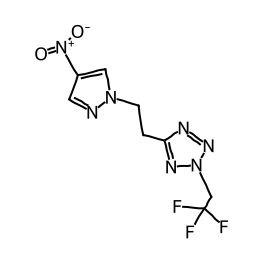 O=[N+]([O-])c1cnn(CCc2nnn(CC(F)(F)F)n2)c1